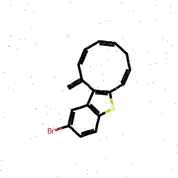 C=C1/C=C\C=C/C/C=C\c2sc3ccc(Br)cc3c21